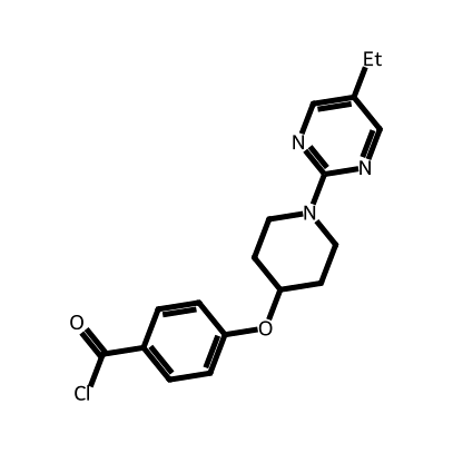 CCc1cnc(N2CCC(Oc3ccc(C(=O)Cl)cc3)CC2)nc1